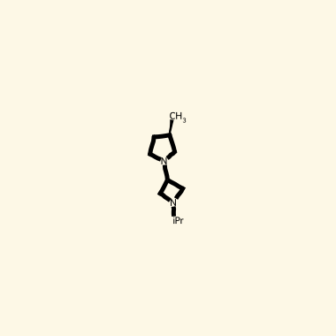 CC(C)N1CC(N2CC[C@@H](C)C2)C1